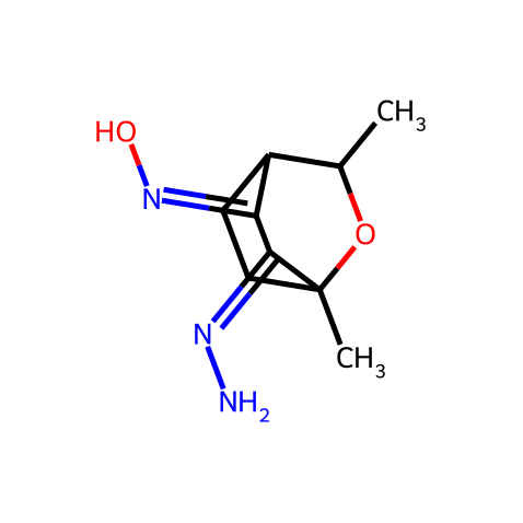 CC1OC2(C)CCC1C(=NO)C2=NN